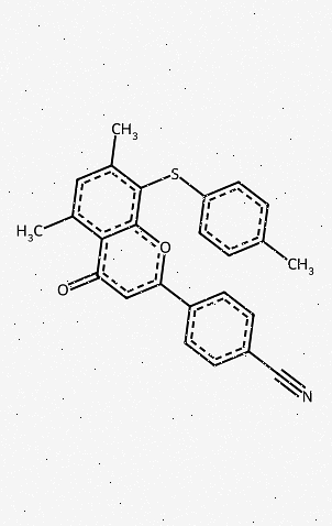 Cc1ccc(Sc2c(C)cc(C)c3c(=O)cc(-c4ccc(C#N)cc4)oc23)cc1